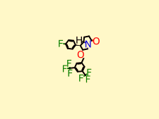 O=C1CC[C@H]2[C@H](c3ccc(F)cc3)[C@@H](OCc3cc(C(F)(F)F)cc(C(F)(F)F)c3)CN12